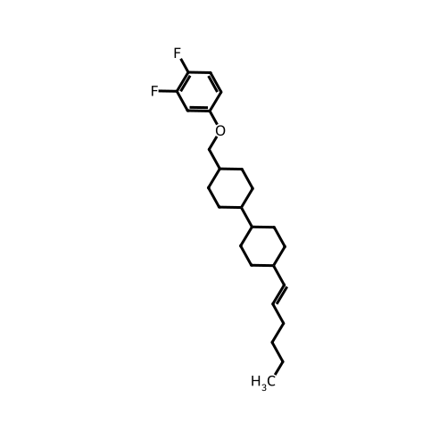 CCCC/C=C/C1CCC(C2CCC(COc3ccc(F)c(F)c3)CC2)CC1